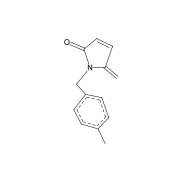 C=C1C=CC(=O)N1Cc1ccc(C)cc1